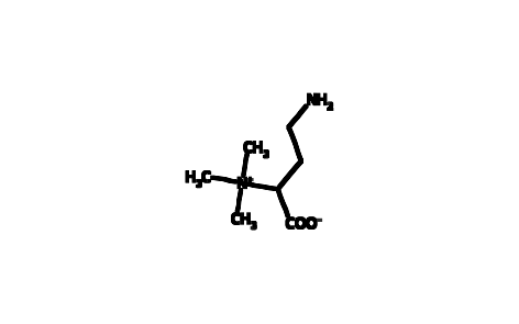 C[N+](C)(C)C(CCN)C(=O)[O-]